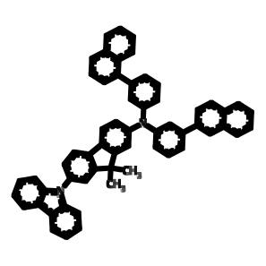 CC1(C)c2cc(N(c3cccc(-c4ccc5ccccc5c4)c3)c3cccc(-c4cccc5ccccc45)c3)ccc2-c2ccc(-n3c4ccccc4c4ccccc43)cc21